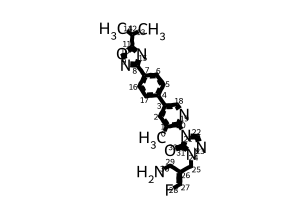 Cc1cc(-c2ccc(-c3noc(C(C)C)n3)cc2)cnc1-n1cnn(C/C(=C/F)CN)c1=O